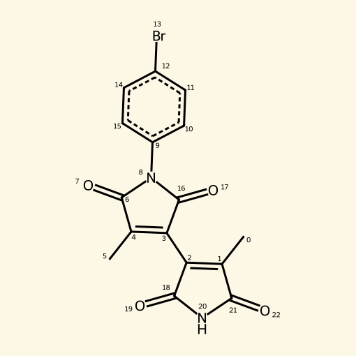 CC1=C(C2=C(C)C(=O)N(c3ccc(Br)cc3)C2=O)C(=O)NC1=O